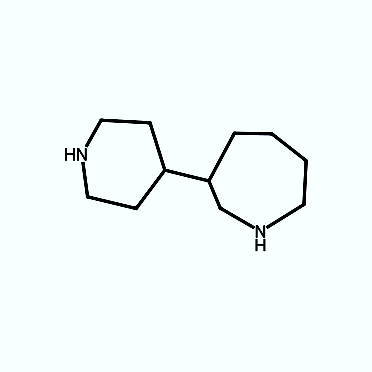 C1CCC(C2CCNCC2)CNC1